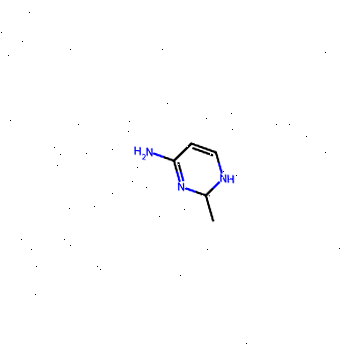 C[C]1N=C(N)C=CN1